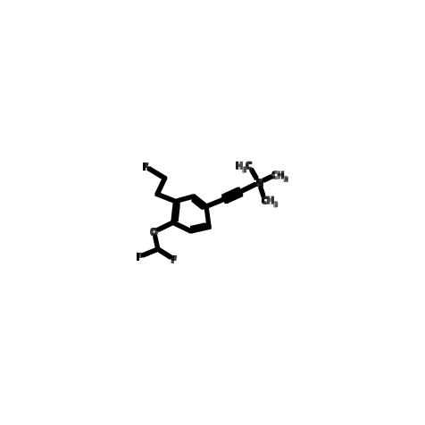 C[Si](C)(C)C#Cc1ccc(OC(F)F)c(CCF)c1